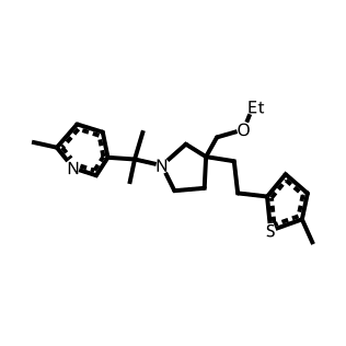 CCOCC1(CCc2ccc(C)s2)CCN(C(C)(C)c2ccc(C)nc2)C1